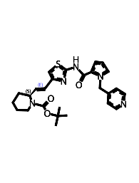 CC(C)(C)OC(=O)N1CCCC[C@H]1/C=C/c1csc(NC(=O)c2cccn2Cc2ccncc2)n1